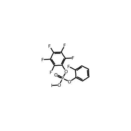 O=P(OI)(Oc1ccccc1F)Oc1c(F)c(F)c(F)c(F)c1F